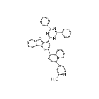 Cc1cc(-c2ccc(-c3cc(-c4nc(-c5ccccc5)nc(-c5ccccc5)n4)c4oc5ccccc5c4c3)c3ccccc23)ccn1